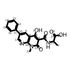 CC(NC(=O)c1c(O)c2cc(-c3ccccc3)cnc2n(C)c1=O)C(=O)O